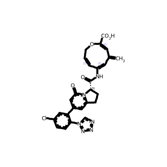 C=C1/C=C(/C(=O)O)OC/C=C\C(NC(=O)[C@@H]2CCc3cc(-c4cc(Cl)ccc4-n4cnnn4)cc(=O)n32)=C/1